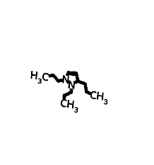 CCCC1C=CN(CCC)N1CCC